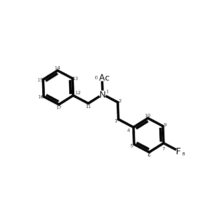 CC(=O)N(CCc1ccc(F)cc1)Cc1ccccc1